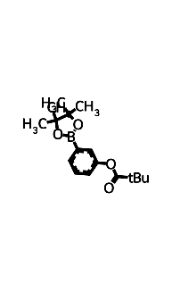 CC(C)(C)C(=O)Oc1cccc(B2OC(C)(C)C(C)(C)O2)c1